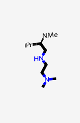 CN[C@@H](CNCCN(C)C)C(C)C